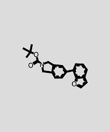 CC(C)(C)OC(=O)N1Cc2ccc(-c3cccc4ccoc34)cc2C1